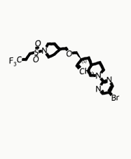 C=C[C@@H](COCC1CCN(S(=O)(=O)CCC(F)(F)F)CC1)CC1CCN(c2ncc(Br)cn2)CC1